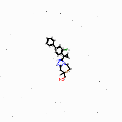 CC1(CO)Cc2nnc(C3(c4ccc(-c5ccccc5)cc4F)CC3)n2CCS1